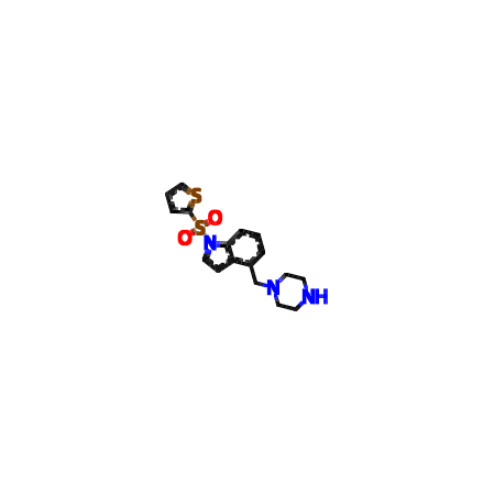 O=S(=O)(c1cccs1)n1ccc2c(CN3CCNCC3)cccc21